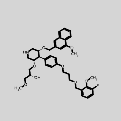 COC[C@@H](O)CO[C@@H]1CNC[C@H](OCc2cc(OC)c3ccccc3c2)[C@H]1c1ccc(OCCCOCc2cccc(F)c2OC)cc1